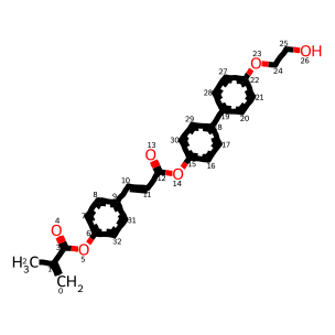 C=C(C)C(=O)Oc1ccc(/C=C/C(=O)Oc2ccc(-c3ccc(OCCO)cc3)cc2)cc1